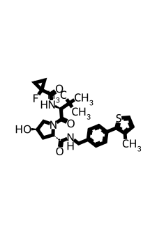 Cc1ccsc1-c1ccc(CNC(=O)[C@@H]2C[C@@H](O)CN2C(=O)[C@@H](NC(=O)C2(F)CC2)C(C)(C)C)cc1